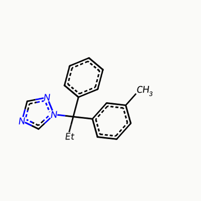 CCC(c1ccccc1)(c1cccc(C)c1)n1cncn1